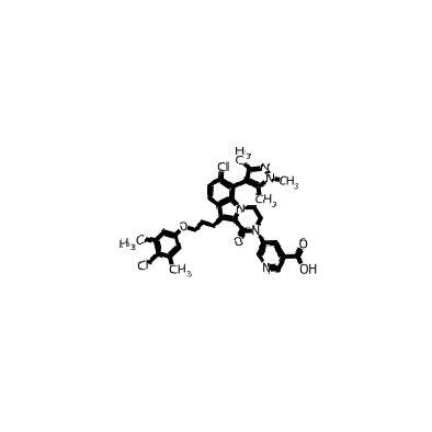 Cc1cc(OCCCc2c3n(c4c(-c5c(C)nn(C)c5C)c(Cl)ccc24)CCN(c2cncc(C(=O)O)c2)C3=O)cc(C)c1Cl